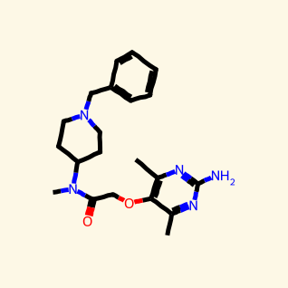 Cc1nc(N)nc(C)c1OCC(=O)N(C)C1CCN(Cc2ccccc2)CC1